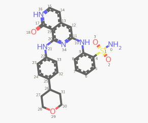 NS(=O)(=O)c1ccccc1Nc1cc2cc[nH]c(=O)c2c(Nc2ccc(C3CCOCC3)cc2)n1